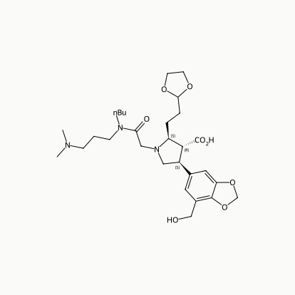 CCCCN(CCCN(C)C)C(=O)CN1C[C@H](c2cc(CO)c3c(c2)OCO3)[C@@H](C(=O)O)[C@@H]1CCC1OCCO1